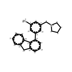 CC(C)c1cc(CN2CCCC2)cc(-c2cccc3c2-c2ccccc2C3)c1